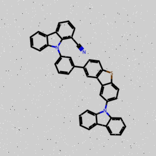 N#Cc1cccc2c3ccccc3n(-c3cccc(-c4ccc5sc6ccc(-n7c8ccccc8c8ccccc87)cc6c5c4)c3)c12